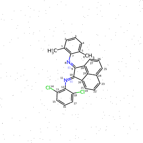 Cc1cccc(C)c1/N=C1/C(=N/c2c(Cl)cccc2Cl)c2cccc3cccc1c23